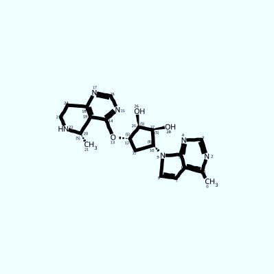 Cc1ncnc2c1ccn2[C@@H]1C[C@H](Oc2ncnc3c2[C@H](C)NCC3)[C@@H](O)[C@H]1O